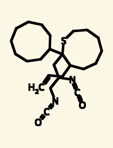 C=CCC1CCCCCCSC1(CC(CN=C=O)N=C=O)C1CCCCCCCC1